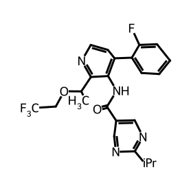 CC(C)c1ncc(C(=O)Nc2c(-c3ccccc3F)ccnc2C(C)OCC(F)(F)F)cn1